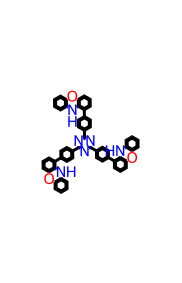 c1ccc2c(c1)Nc1c(cccc1-c1ccc(-c3nc(-c4ccc(-c5cccc6c5Nc5ccccc5O6)cc4)nc(-c4ccc(-c5cccc6c5Nc5ccccc5O6)cc4)n3)cc1)O2